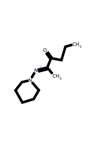 CCCC(=O)/C(C)=N/N1CCCCC1